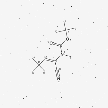 CN(C(=O)OC(C)(C)C)/C(C#N)=C/C(C)(C)C